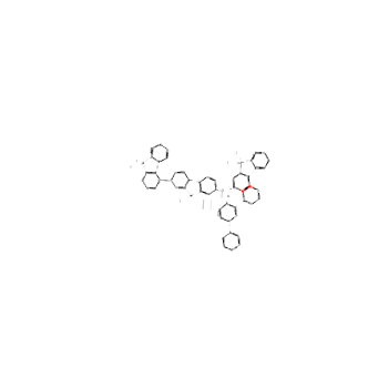 CC1(C)c2ccccc2-c2ccc(N(c3ccc4c(c3)C(C)(C)c3cc(-c5cccc6c5-c5ccccc5C6(C)C)ccc3-4)c3ccc(-c4ccccc4)cc3-c3ccccc3)cc21